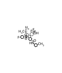 CC(C)=CCC1N(S(=O)(=O)c2ccc(F)cc2)c2ccc(C(=O)Nc3cccc(C)c3)cc2C12CCC(O)(C(F)(F)F)CC2